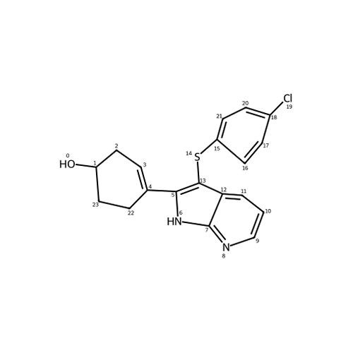 OC1CC=C(c2[nH]c3ncccc3c2Sc2ccc(Cl)cc2)CC1